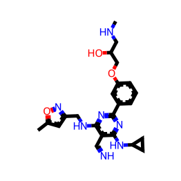 CNCC(O)COc1cccc(-c2nc(NCc3cc(C)on3)c(C=N)c(NC3CC3)n2)c1